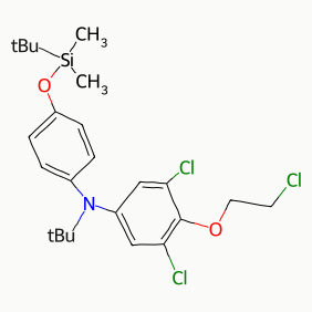 CC(C)(C)N(c1ccc(O[Si](C)(C)C(C)(C)C)cc1)c1cc(Cl)c(OCCCl)c(Cl)c1